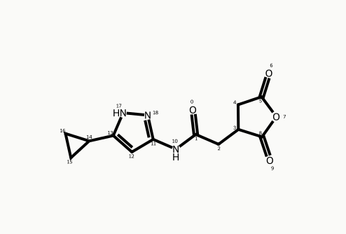 O=C(CC1CC(=O)OC1=O)Nc1cc(C2CC2)[nH]n1